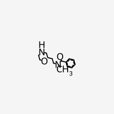 CN(CCC1CNCCO1)C(=O)c1ccccc1